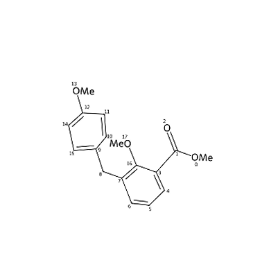 COC(=O)c1cccc(Cc2ccc(OC)cc2)c1OC